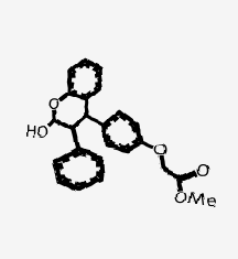 COC(=O)COc1ccc(C2c3ccccc3OC(O)C2c2ccccc2)cc1